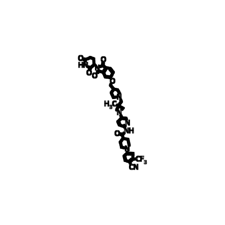 CC1(CN2CCC(COc3ccc4c(c3)C(=O)N(C3CCC(=O)NC3=O)C4=O)CC2)CN(c2ccc(NC(=O)C3CCN(c4ccc(C#N)c(C(F)(F)F)c4)CC3)nc2)C1